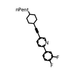 CCCCCC1CCC(C#Cc2ccc(-c3ccc(F)c(F)c3)nc2)CC1